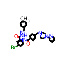 Cc1ccc(/C=N/NC(=O)c2cc(Br)ccc2NC(=O)c2ccc(CN3CCN(c4ccccn4)CC3)cc2)cc1